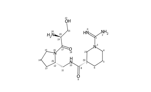 N=C(N)N1CCC[C@H](C(=O)NC[C@@H]2CCCN2C(=O)[C@@H](N)CO)C1